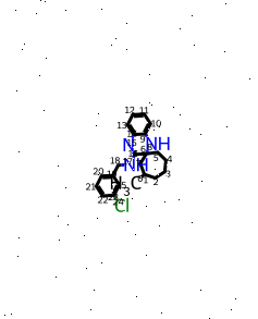 CC1CCCCC2(C1)Nc1ccccc1N=C2NCc1cccc(Cl)c1